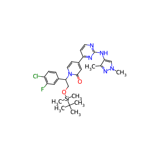 Cc1nn(C)cc1Nc1nccc(-c2ccn(C(CO[Si](C)(C)C(C)(C)C)c3ccc(Cl)c(F)c3)c(=O)c2)n1